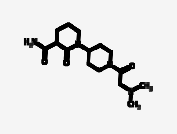 CN(C)CC(=O)N1CCC(N2CCCC(C(N)=O)C2=O)CC1